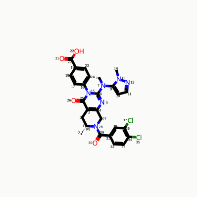 C[C@@H]1Cc2c(nc(N(C)c3ccnn3C)n(-c3ccc(C(=O)O)cc3)c2=O)CN1C(=O)c1ccc(Cl)c(Cl)c1